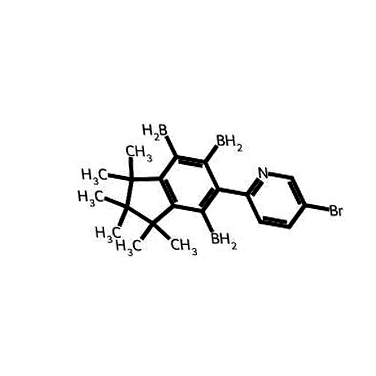 Bc1c(B)c2c(c(B)c1-c1ccc(Br)cn1)C(C)(C)C(C)(C)C2(C)C